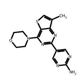 Cc1csc2c(N3CCOCC3)nc(-c3cnc(N)nc3)nc12